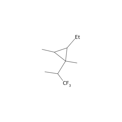 CCC1C(C)C1(C)C(C)C(F)(F)F